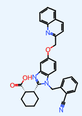 N#Cc1ccccc1Cn1c([C@@H]2CCCC[C@@H]2C(=O)O)nc2cc(OCc3ccc4ccccc4n3)ccc21